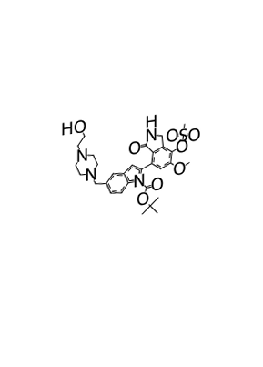 COc1cc(-c2cc3cc(CN4CCN(CCO)CC4)ccc3n2C(=O)OC(C)(C)C)c2c(c1OS(C)(=O)=O)CNC2=O